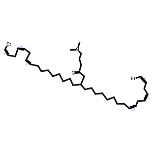 CC/C=C\C/C=C\C/C=C\CCCCCCCCC(CCCCCCCC/C=C\C/C=C\C/C=C\CC)CC(=O)CCCN(C)C